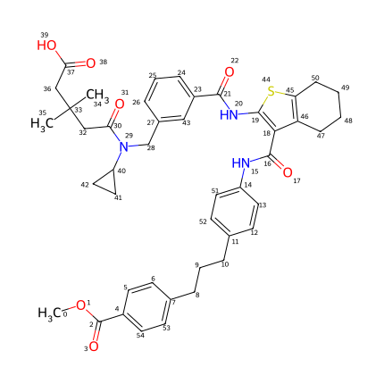 COC(=O)c1ccc(CCCc2ccc(NC(=O)c3c(NC(=O)c4cccc(CN(C(=O)CC(C)(C)CC(=O)O)C5CC5)c4)sc4c3CCCC4)cc2)cc1